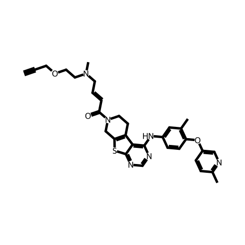 C#CCOCCN(C)C/C=C/C(=O)N1CCc2c(sc3ncnc(Nc4ccc(Oc5ccc(C)nc5)c(C)c4)c23)C1